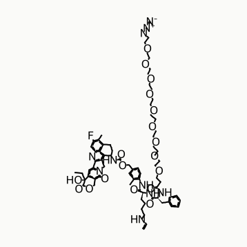 C=CNCCCC[C@H](NC(=O)[C@H](Cc1ccccc1)NC(=O)CCOCCOCCOCCOCCOCCOCCOCCOCCOCCN=[N+]=[N-])C(=O)Nc1ccc(COC(=O)N[C@H]2CCc3c(C)c(F)cc4nc5c(c2c34)Cn2c-5cc3c(c2=O)COC(=O)[C@]3(O)CC)cc1C